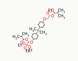 C=C(C)C(=O)OC(COc1ccc(C(C)(C)c2ccc(OC(OC(=O)C(=C)C)C(OCC)(OCC)OCC)cc2)cc1)OCC